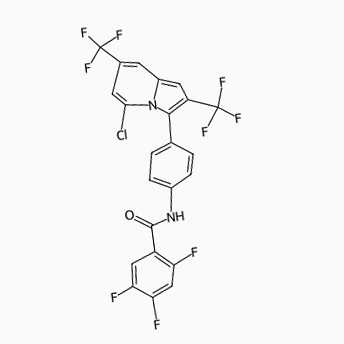 O=C(Nc1ccc(-c2c(C(F)(F)F)cc3cc(C(F)(F)F)cc(Cl)n23)cc1)c1cc(F)c(F)cc1F